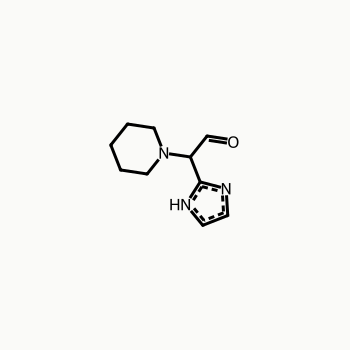 O=CC(c1ncc[nH]1)N1CCCCC1